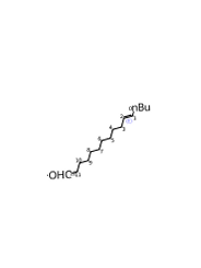 CCCC/C=C/CCCCCCCCC[C]=O